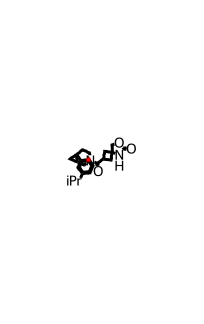 CC(C)c1cccc(C23CCN(C(=O)C4CC5(COC(=O)N5)C4)CC2C3)c1